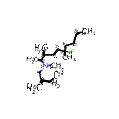 C=C(CC)CN(C)C(=C)C(C)CCC(C)(F)CCCC